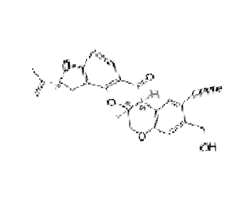 C=C(C)[C@H]1Cc2c(ccc3c2O[C@@H]2COc4cc(CO)c(OC)cc4[C@@H]2C3=O)O1